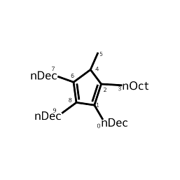 CCCCCCCCCCC1=C(CCCCCCCC)C(C)C(CCCCCCCCCC)=C1CCCCCCCCCC